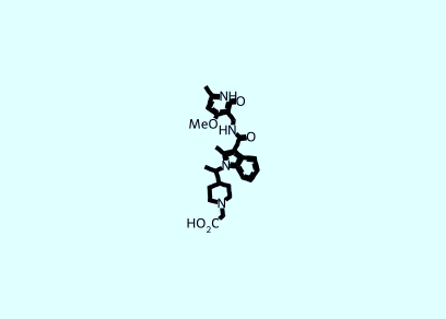 COc1cc(C)[nH]c(=O)c1CNC(=O)c1c(C)n(C(C)C2CCN(CC(=O)O)CC2)c2ccccc12